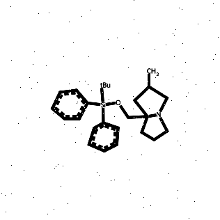 CC1CN2CCCC2(CO[Si](c2ccccc2)(c2ccccc2)C(C)(C)C)C1